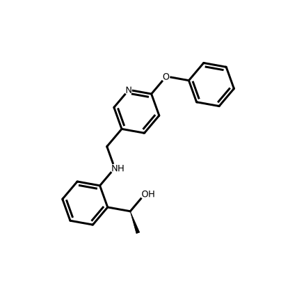 C[C@H](O)c1ccccc1NCc1ccc(Oc2ccccc2)nc1